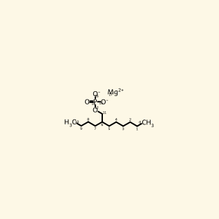 CCCCCCC(CCCC)COP(=O)([O-])[O-].[Mg+2]